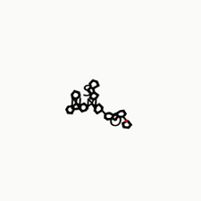 c1ccc(-c2cccc3c2oc2ccc(-c4ccc(N(c5ccc6c(c5)sc5ccccc56)c5ccc6c7ccccc7n(-c7ccccc7)c6c5)cc4)cc23)cc1